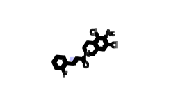 CC(=O)c1c(Cl)cc2c(c1Cl)CCN(C(=O)/C=C/c1ccccc1F)C2